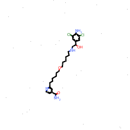 NC(=O)c1ccnc(CCCCCCOCCCCCCNCC(O)c2cc(Cl)c(N)c(Cl)c2)c1